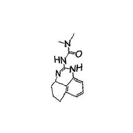 CN(C)C(=O)NC1=NC2CCCc3cccc(c32)N1